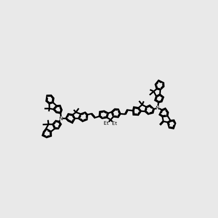 C=C1c2ccccc2-c2ccc(N(c3ccc4c(c3)C(C)(C)c3ccccc3-4)c3ccc4c(c3)C(C)(C)c3cc(/C=C/c5ccc6c(c5)C(CC)(CC)c5cc(/C=C/c7ccc8c(c7)C(C)(C)c7cc(N(c9ccc%10c(c9)C(C)(C)c9ccccc9-%10)c9ccc%10c(c9)C(C)(C)c9ccccc9-%10)ccc7-8)ccc5-6)ccc3-4)cc21